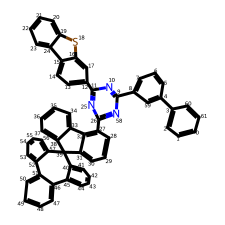 c1ccc(-c2cccc(-c3nc(-c4ccc5c(c4)sc4ccccc45)nc(-c4cccc5c4-c4ccccc4C54c5ccccc5-c5ccccc5-c5ccccc54)n3)c2)cc1